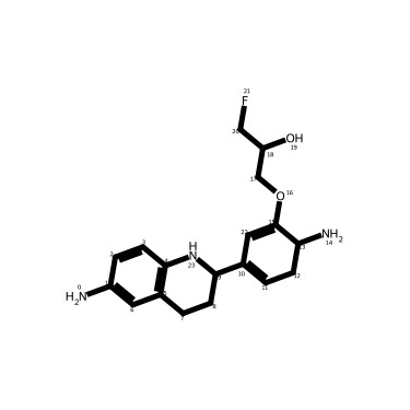 Nc1ccc2c(c1)CCC(C1=CCC(N)C(OCC(O)CF)=C1)N2